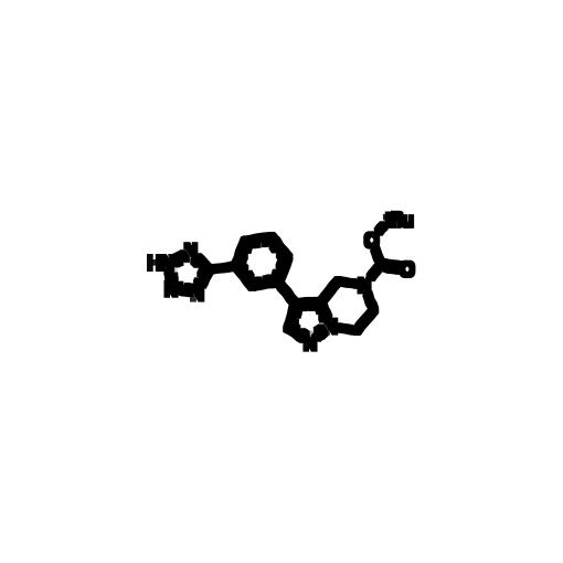 CC(C)(C)OC(=O)N1CCn2ncc(-c3cccc(-c4nn[nH]n4)c3)c2C1